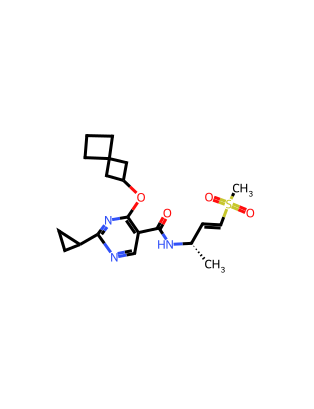 C[C@@H](/C=C/S(C)(=O)=O)NC(=O)c1cnc(C2CC2)nc1OC1CC2(CCC2)C1